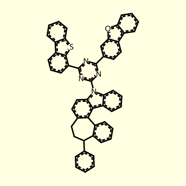 c1ccc(C2CCc3ccc4c(c3-c3ccccc32)c2ccccc2n4-c2nc(-c3ccc4c(c3)oc3ccccc34)nc(-c3cccc4c3sc3ccccc34)n2)cc1